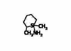 CC1CCCC[Si]1(C)N